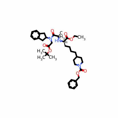 CCOC(=O)[C@@H](CCCCC1CCN(C(=O)OCc2ccccc2)CC1)N[C@@H](C)C(=O)N(CC(=O)OC(C)(C)C)C1Cc2ccccc2C1